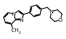 Cc1cccn2cc(-c3ccc(CN4CCOCC4)cc3)nc12